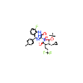 Cc1ccc(C2=N[C@@H](NC(=O)[C@H](CCC(F)(F)F)[C@H](CC3CC3)C(=O)OC(C)(C)C)C(=O)Nc3c(F)cccc32)cc1